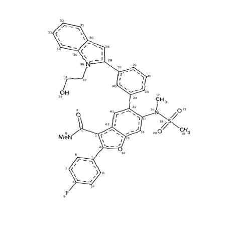 CNC(=O)c1c(-c2ccc(F)cc2)oc2cc(N(C)S(C)(=O)=O)c(-c3cccc(-c4cc5ccccc5n4CCO)c3)cc12